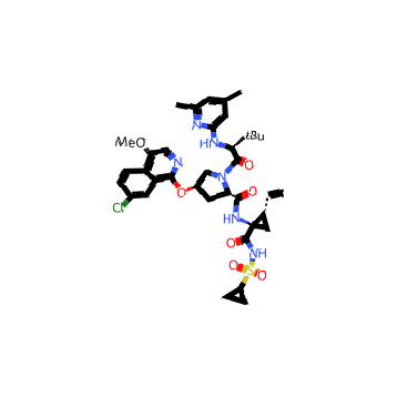 C=C[C@@H]1C[C@]1(NC(=O)[C@@H]1C[C@@H](Oc2ncc(OC)c3ccc(Cl)cc23)CN1C(=O)[C@@H](Nc1cc(C)cc(C)n1)C(C)(C)C)C(=O)NS(=O)(=O)C1CC1